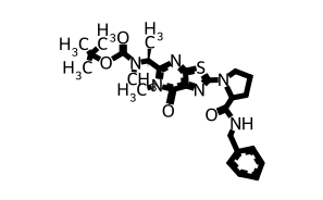 C[C@@H](c1nc2sc(N3CCCC3C(=O)NCc3ccccc3)nc2c(=O)n1C)N(C)C(=O)OC(C)(C)C